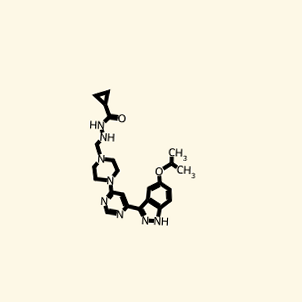 CC(C)Oc1ccc2[nH]nc(-c3cc(N4CCN(CNNC(=O)C5CC5)CC4)ncn3)c2c1